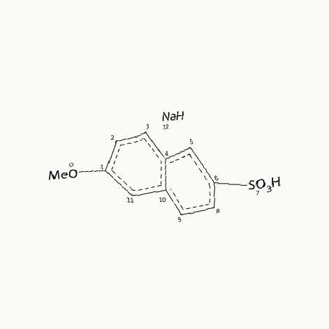 COc1ccc2cc(S(=O)(=O)O)ccc2c1.[NaH]